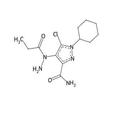 CCC(=O)N(N)c1c(C(N)=O)nn(C2CCCCC2)c1Cl